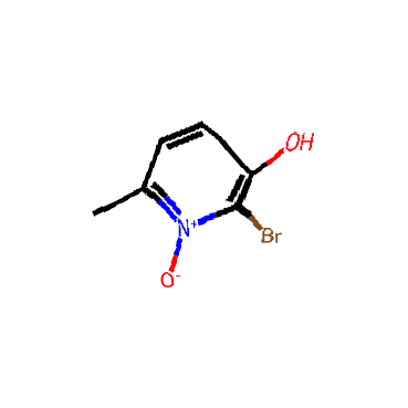 Cc1ccc(O)c(Br)[n+]1[O-]